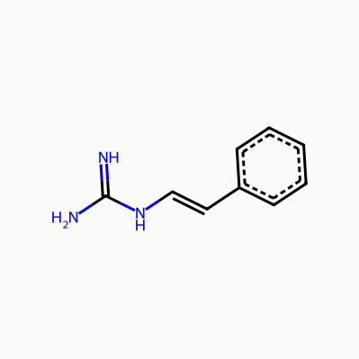 N=C(N)N/C=C/c1ccccc1